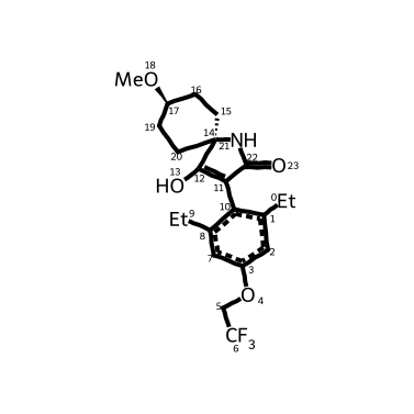 CCc1cc(OCC(F)(F)F)cc(CC)c1C1=C(O)[C@]2(CC[C@H](OC)CC2)NC1=O